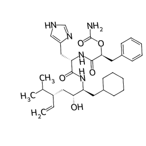 C=C[C@@H](C[C@@H](O)[C@H](CC1CCCCC1)NC(=O)[C@H](Cc1c[nH]cn1)NC(=O)[C@H](Cc1ccccc1)OC(N)=O)C(C)C